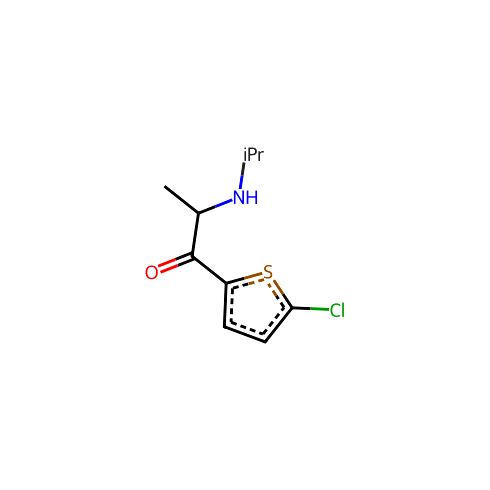 CC(C)NC(C)C(=O)c1ccc(Cl)s1